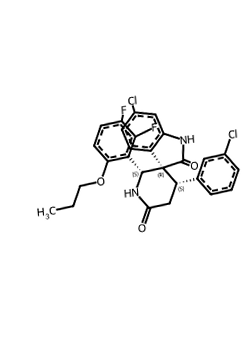 CCCOc1ccc(F)c(F)c1[C@H]1NC(=O)C[C@@H](c2cccc(Cl)c2)[C@]12C(=O)Nc1cc(Cl)ccc12